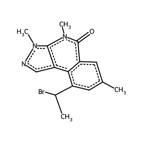 Cc1cc(C(C)Br)c2c(c1)c(=O)n(C)c1c2cnn1C